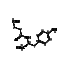 CCCCCCCCCCCCC(=O)N[C@@H](Cc1ccc(O)cc1)C(=O)O